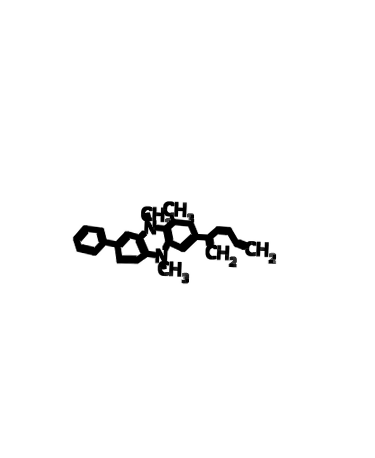 C=C/C=C\C(=C)C1=CC2=C([C@H](C)C1)N(C)c1cc(-c3ccccc3)ccc1N2C